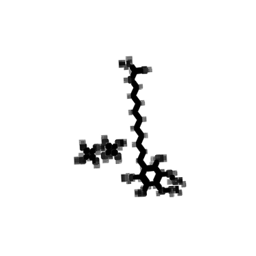 COc1c(O)c(C)c(CCCCCCCCCCOC(C)=O)c(O)c1OC.O=S(=O)(O)O.O=S(=O)(O)O